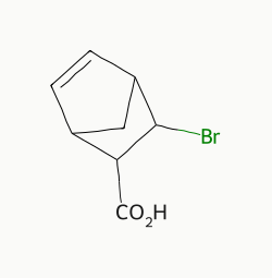 O=C(O)C1C2C=CC(C2)C1Br